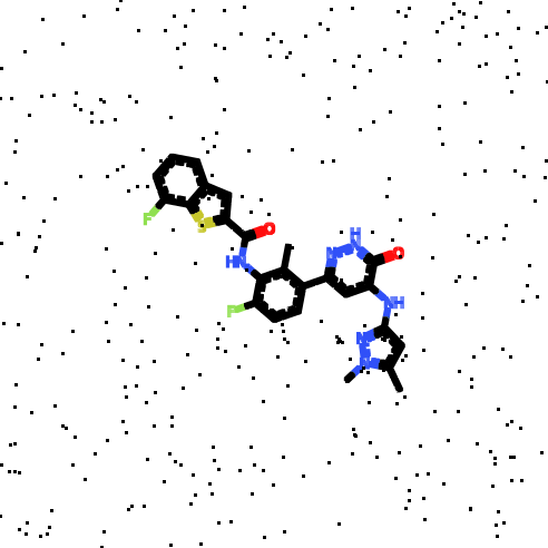 Cc1c(-c2cc(Nc3cc(C)n(C)n3)c(=O)[nH]n2)ccc(F)c1NC(=O)c1cc2cccc(F)c2s1